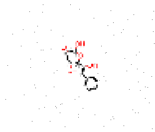 OC(=Cc1ccccc1)[C@H]1O[C@H](O)[C@H](O)C[C@@H]1O